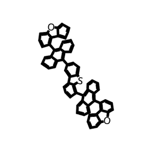 c1ccc2c(c1)oc1cccc(-c3c4ccccc4c(-c4ccc5sc6c(-c7c8ccccc8c(-c8cccc9oc%10ccccc%10c89)c8ccccc78)cccc6c5c4)c4ccccc34)c12